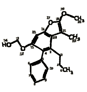 CCCc1c(-c2ccccc2)c(OCO)cc2oc(OC)c(C)c12